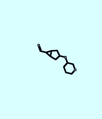 O=CC1C2CC(OC3CCCOC3)CC12